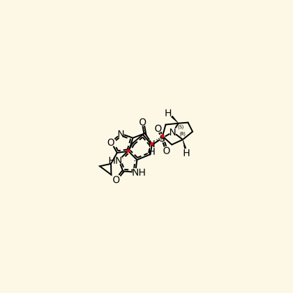 O=C(N[C@H]1C[C@H]2CC[C@@H](C1)N2S(=O)(=O)c1ccc2[nH]c(=O)[nH]c2c1)c1cc(C2CC2)on1